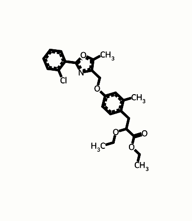 CCOC(=O)C(Cc1ccc(OCc2nc(-c3ccccc3Cl)oc2C)cc1C)OCC